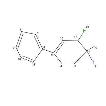 CC1(I)C=CC(c2ccccc2)=CC1F